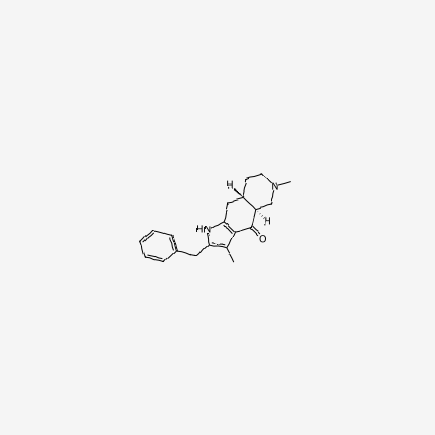 Cc1c(Cc2ccccc2)[nH]c2c1C(=O)[C@@H]1CN(C)CC[C@H]1C2